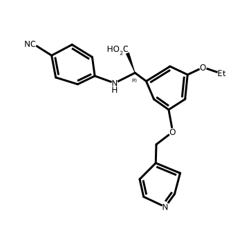 CCOc1cc(OCc2ccncc2)cc([C@@H](Nc2ccc(C#N)cc2)C(=O)O)c1